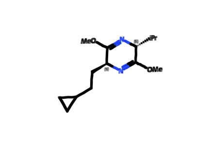 COC1=N[C@H](C(C)C)C(OC)=N[C@H]1CCC1CC1